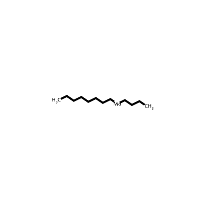 CCCCCCC[CH2][Mo][CH2]CCC